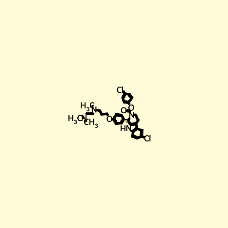 CN(C)CCN(C)CCCOc1ccc([C@H]2c3[nH]c4ccc(Cl)cc4c3CCN2C(=O)Oc2ccc(Cl)cc2)cc1